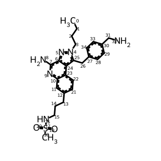 CCCCn1nc2c(N)nc3cc(CCCNS(C)(=O)=O)ccc3c2c1Cc1ccc(CN)cc1